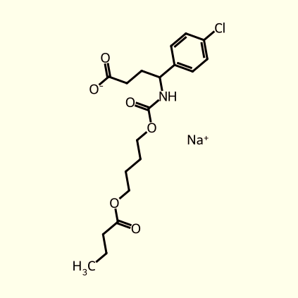 CCCC(=O)OCCCCOC(=O)NC(CCC(=O)[O-])c1ccc(Cl)cc1.[Na+]